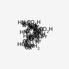 CC(C)C[C@H](NC(=O)[C@H](Cc1c[nH]cn1)NC(=O)CNC(=O)[C@@H](NC(=O)[C@H](C)N)[C@@H](C)O)C(=O)N[C@@H](CC(C)C)C(=O)N[C@@H](CC(=O)O)C(=O)N[C@H](C(=O)N[C@H](C(=O)N[C@@H](Cc1c[nH]cn1)C(=O)O)C(C)C)[C@@H](C)O